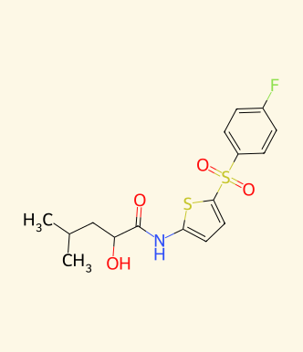 CC(C)CC(O)C(=O)Nc1ccc(S(=O)(=O)c2ccc(F)cc2)s1